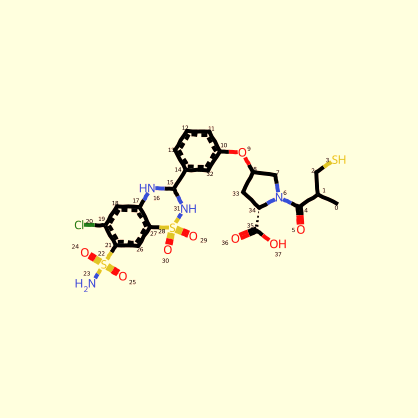 CC(CS)C(=O)N1CC(Oc2cccc(C3Nc4cc(Cl)c(S(N)(=O)=O)cc4S(=O)(=O)N3)c2)C[C@H]1C(=O)O